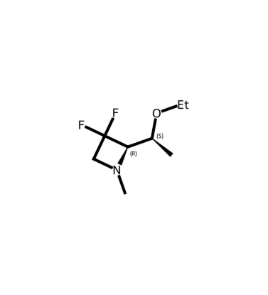 CCO[C@@H](C)[C@H]1N(C)CC1(F)F